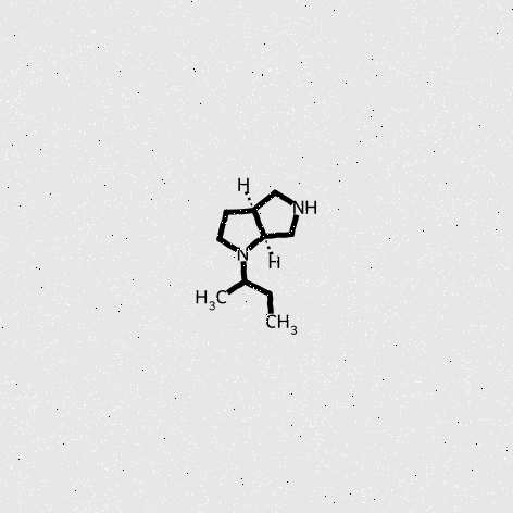 CCC(C)N1CC[C@H]2CNC[C@H]21